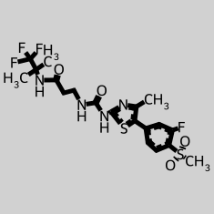 Cc1nc(NC(=O)NCCC(=O)NC(C)(C)C(F)(F)F)sc1-c1ccc(S(C)(=O)=O)c(F)c1